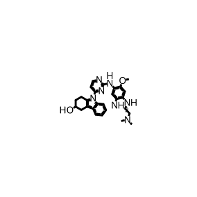 COc1cc(NCCN(C)C)c(N)cc1Nc1nccc(-n2c3c(c4ccccc42)CC(O)CC3)n1